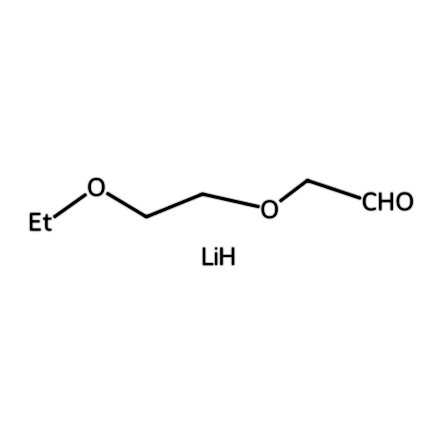 CCOCCOCC=O.[LiH]